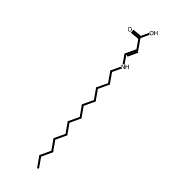 CCCCCCCCCCCCNC=CC(=O)O